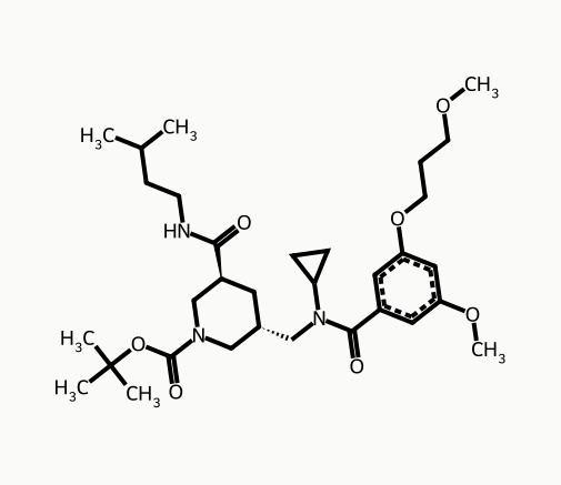 COCCCOc1cc(OC)cc(C(=O)N(C[C@H]2C[C@H](C(=O)NCCC(C)C)CN(C(=O)OC(C)(C)C)C2)C2CC2)c1